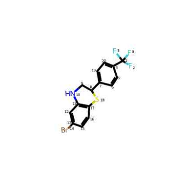 FC(F)(F)c1ccc(C2CNc3cc(Br)ccc3S2)cc1